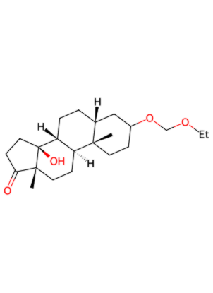 CCOCOC1CC[C@@]2(C)[C@H](CC[C@@H]3[C@@H]2CC[C@]2(C)C(=O)CC[C@]32O)C1